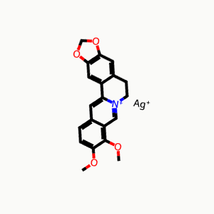 COc1ccc2cc3[n+](cc2c1OC)CCc1cc2c(cc1-3)OCO2.[Ag+]